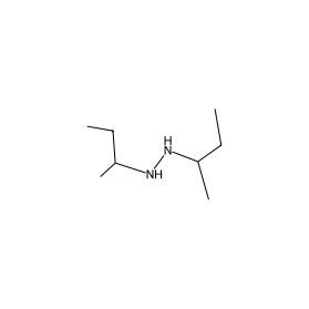 CCC(C)NNC(C)CC